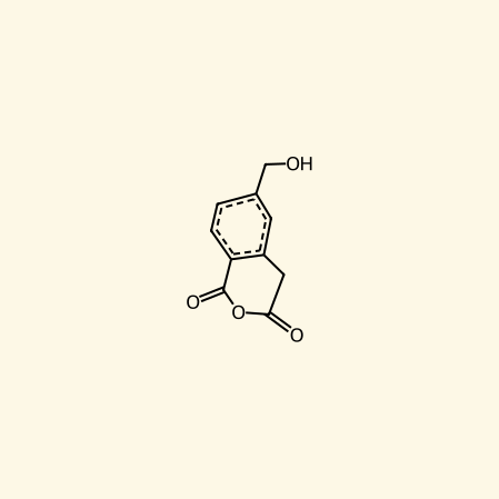 O=C1Cc2cc(CO)ccc2C(=O)O1